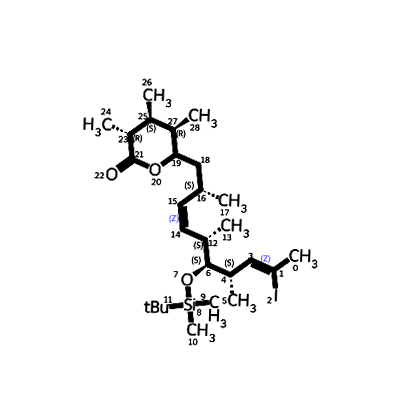 C/C(I)=C/[C@H](C)[C@@H](O[Si](C)(C)C(C)(C)C)[C@@H](C)/C=C\[C@@H](C)CC1OC(=O)[C@H](C)[C@@H](C)[C@H]1C